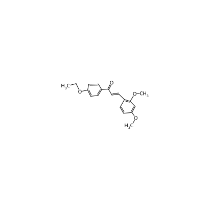 CCOc1ccc(C(=O)C=Cc2ccc(OC)cc2OC)cc1